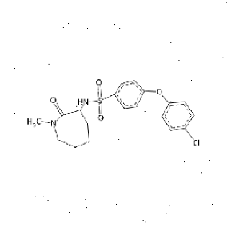 CN1CCCCC(NS(=O)(=O)c2ccc(Oc3ccc(Cl)cc3)cc2)C1=O